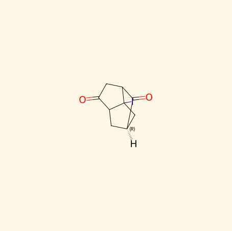 O=C1CC2C(=O)[C@@H]3CC1C2(I)C3